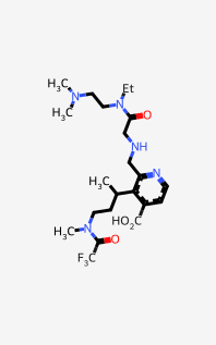 CCN(CCN(C)C)C(=O)CNCc1nccc(C(=O)O)c1C(C)CCN(C)C(=O)C(F)(F)F